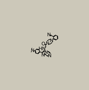 CN(C)c1ccc(-c2nc3cnccn3c2NCC(=O)N2CCN(c3ccccc3C#N)CC2)cc1